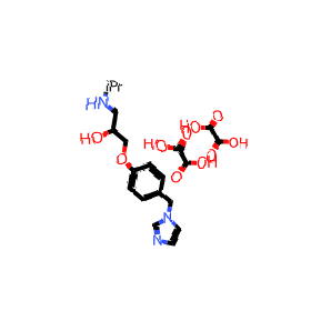 CC(C)NCC(O)COc1ccc(Cn2ccnc2)cc1.O=C(O)C(=O)O.O=C(O)C(=O)O